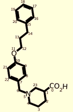 O=C(O)C1CCCN(Cc2ccc(OCCCc3ccccc3)cc2)C1